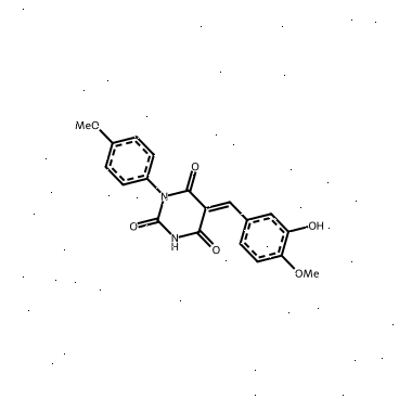 COc1ccc(N2C(=O)NC(=O)/C(=C\c3ccc(OC)c(O)c3)C2=O)cc1